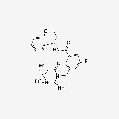 CC[C@]1(CC(C)C)CC(=O)N(Cc2cc(F)cc(C(=O)N[C@H]3CCOc4ccccc43)c2)C(=N)N1